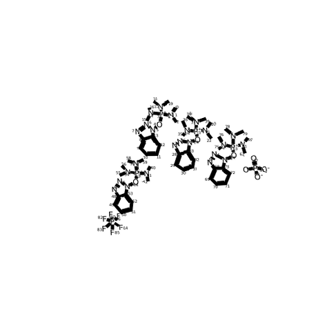 CN(C)[P+](On1nnc2ccccc21)(N(C)C)N(C)C.CN(C)[P+](On1nnc2ccccc21)(N(C)C)N(C)C.CN(C)[P+](On1nnc2ccccc21)(N(C)C)N(C)C.CN(C)[P+](On1nnc2ccccc21)(N(C)C)N(C)C.F[P-](F)(F)(F)(F)F.O=P([O-])([O-])[O-]